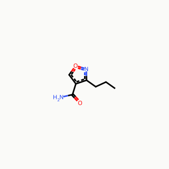 CCCc1nocc1C(N)=O